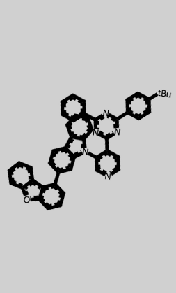 CC(C)(C)c1ccc(-c2nc(-c3ccccc3)nc(-c3ccncc3-n3c4ccccc4c4ccc(-c5cccc6oc7ccccc7c56)cc43)n2)cc1